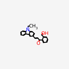 CCn1c2ccccc2c2cc(/C=C/C(=O)c3ccccc3CO)ccc21